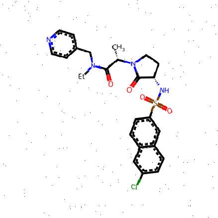 CCN(Cc1ccncc1)C(=O)[C@H](C)N1CC[C@H](NS(=O)(=O)c2ccc3cc(Cl)ccc3c2)C1=O